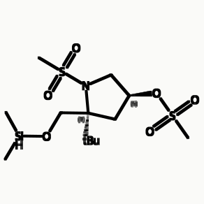 C[SiH](C)OC[C@]1(C(C)(C)C)C[C@H](OS(C)(=O)=O)CN1S(C)(=O)=O